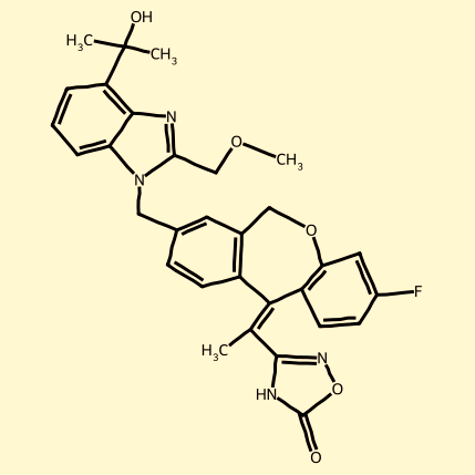 COCc1nc2c(C(C)(C)O)cccc2n1Cc1ccc2c(c1)COc1cc(F)ccc1C2=C(C)c1noc(=O)[nH]1